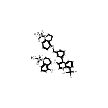 CS(=O)(=O)N1CCCc2c(O)cccc21.Cc1cnc2c(C(F)(F)F)cccc2c1-c1cccc(COc2cccc3c2CCCN3S(C)(=O)=O)c1